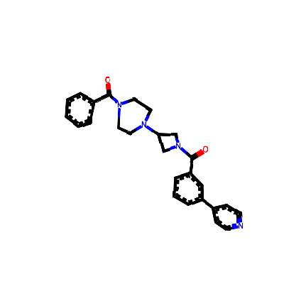 O=C(c1ccccc1)N1CCN(C2CN(C(=O)c3cccc(-c4ccncc4)c3)C2)CC1